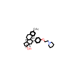 CC(=O)Oc1ccc2c(c1)CC[C@@]1(C)[C@@H]3CC[C@H](O)[C@@]3(C)C[C@H](c3ccc(OCCN4CCCCC4)cc3)[C@H]21